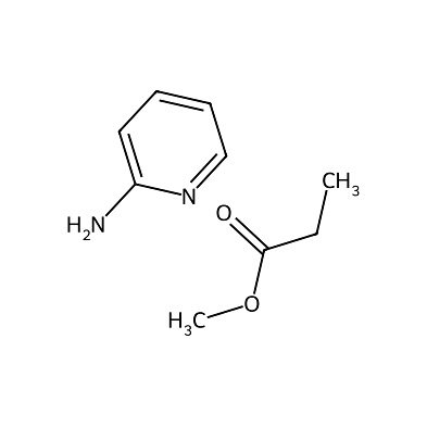 CCC(=O)OC.Nc1ccccn1